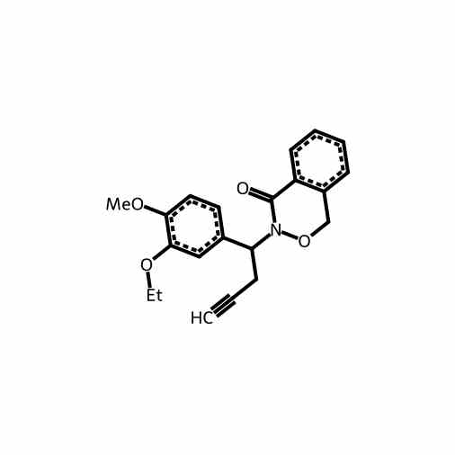 C#CCC(c1ccc(OC)c(OCC)c1)N1OCc2ccccc2C1=O